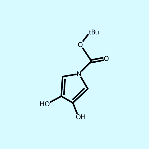 CC(C)(C)OC(=O)n1cc(O)c(O)c1